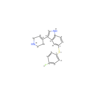 Fc1ccc(Sc2ccc3[nH]cc(C4=CCNCC4)c3c2)cc1